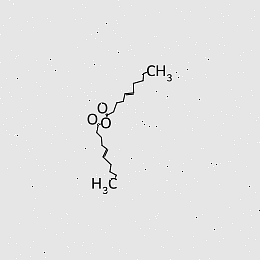 CCCC/C=C/CCCC(=O)OC(=O)CCC/C=C/CCCC